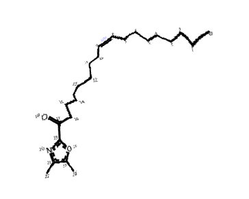 CCCCCCCC/C=C\CCCCCCCC(=O)c1nc(C)c(C)o1